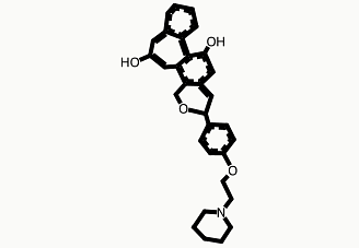 OC1=Cc2c3c(cc(O)c2=c2ccccc2=C1)=CC(c1ccc(OCCN2CCCCC2)cc1)OC3